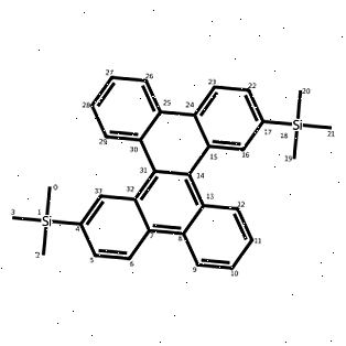 C[Si](C)(C)c1ccc2c3ccccc3c3c4cc([Si](C)(C)C)ccc4c4ccccc4c3c2c1